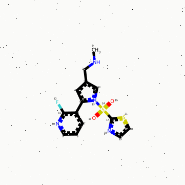 CNCc1cc(-c2cccnc2F)n(S(=O)(=O)c2nccs2)c1